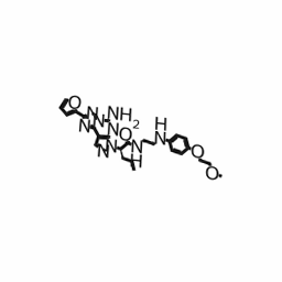 CCC[C@H](C(=O)NCCNc1ccc(OCCOC)cc1)n1ncc2c1nc(N)n1nc(-c3ccco3)nc21